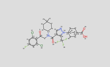 CC1(C)CCC(N(CC(=O)c2c(Cl)cc(F)cc2Cl)C(=O)c2cnn(C34CCC(C(=O)O)(CC3)CC4)c2C(F)(F)F)CC1